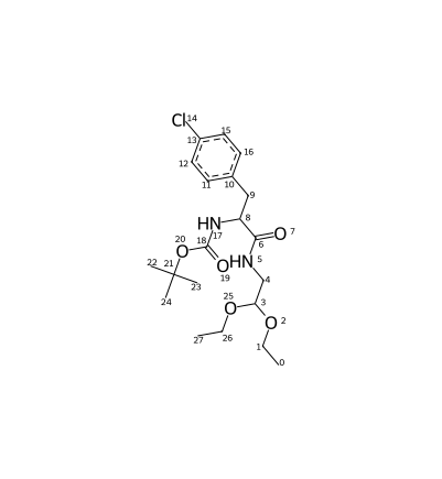 CCOC(CNC(=O)C(Cc1ccc(Cl)cc1)NC(=O)OC(C)(C)C)OCC